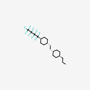 CCC[C@H]1CC[C@H](CC[C@H]2CC[C@H](C(F)(F)C(F)(F)C(F)(F)C(F)(F)F)CC2)CC1